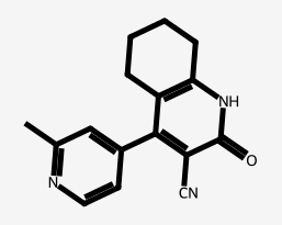 Cc1cc(-c2c3c([nH]c(=O)c2C#N)CCCC3)ccn1